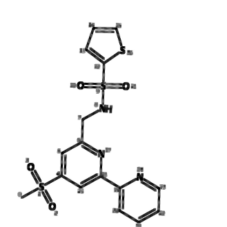 CS(=O)(=O)c1cc(CNS(=O)(=O)c2cccs2)nc(-c2ccccn2)c1